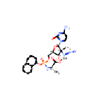 CCCCOC(=O)[C@H](C)NP(=O)(OC[C@H]1O[C@@H](n2ccc(N)nc2=O)[C@](C)(N=[N+]=[N-])[C@@H]1O)Oc1cccc2ccccc12